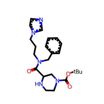 CC(C)(C)OC(=O)N1CCNC(C(=O)N(CCCn2ccnc2)Cc2ccccc2)C1